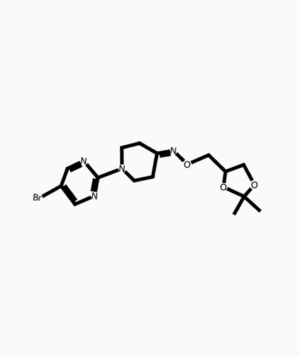 CC1(C)OCC(CON=C2CCN(c3ncc(Br)cn3)CC2)O1